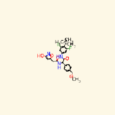 COCc1ccc(C(NC(=O)Cc2cc(O)no2)C(=O)Nc2cc(F)c([Si](C)(C)C)c(F)c2)cc1